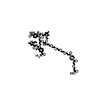 CCn1nc(C)cc1C(=O)N=c1n(C)c2cc(C(N)=O)ccc2n1CCC(CCn1c(=NC(=O)c2cc(C)nn2CC)n(C)c2cc(C(N)=O)ccc21)OCC(=O)NCCOCCOCCOCCOCCC(=O)N1CCN(C(=O)CCOCCC(=O)O)CC1